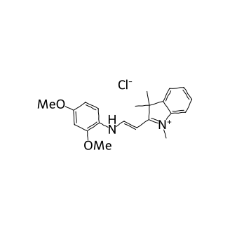 COc1ccc(NC=CC2=[N+](C)c3ccccc3C2(C)C)c(OC)c1.[Cl-]